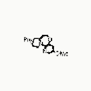 COc1cnc2c(c1)OCC=C1CN(C(C)C)CCN12